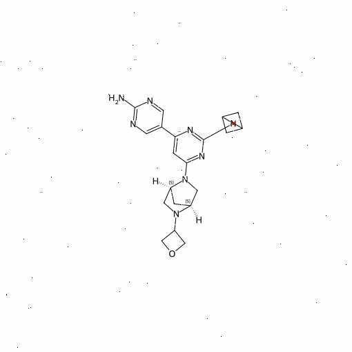 Nc1ncc(-c2cc(N3C[C@@H]4C[C@H]3CN4C3COC3)nc(N3CC4CC3C4)n2)cn1